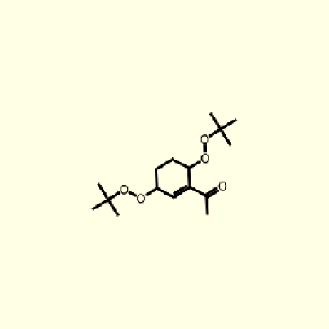 CC(=O)C1=CC(OOC(C)(C)C)CCC1OOC(C)(C)C